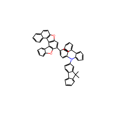 CC1(C)c2ccccc2-c2ccc(N(c3ccc(-c4cc5oc6ccc7ccccc7c6c5c5c4oc4ccccc45)cc3)c3ccccc3-c3ccccc3)cc21